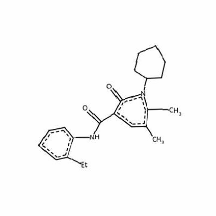 CCc1ccccc1NC(=O)c1cc(C)c(C)n(C2CCCCC2)c1=O